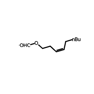 CCCCC/C=C\CCO[C]=O